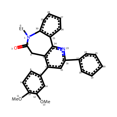 CCN1C(=O)Cc2c(-c3ccc(OC)c(OC)c3)cc(-c3ccccc3)nc2-c2ccccc21